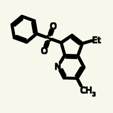 CCC1=CC(S(=O)(=O)c2ccccc2)c2ncc(C)cc21